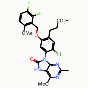 COc1ccc(F)c(F)c1COc1cc(-n2c(=O)[nH]c3c(OC)nc(C)nc32)c(Cl)cc1CCC(=O)O